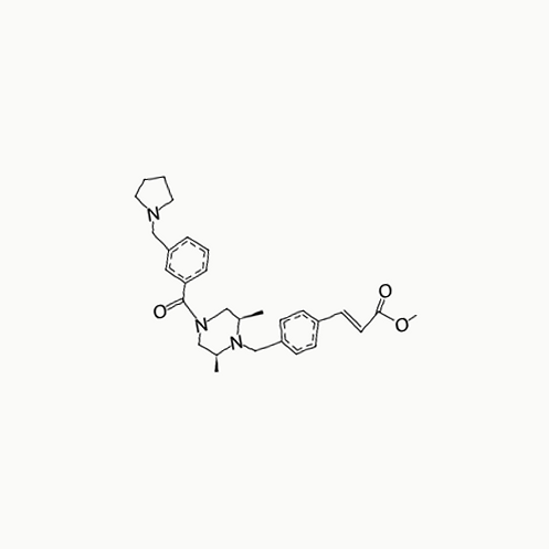 COC(=O)C=Cc1ccc(CN2[C@H](C)CN(C(=O)c3cccc(CN4CCCC4)c3)C[C@@H]2C)cc1